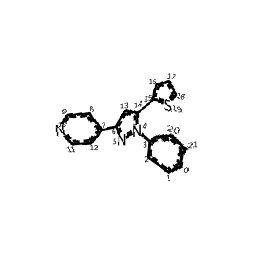 c1ccc(-n2nc(-c3ccncc3)cc2-c2cccs2)cc1